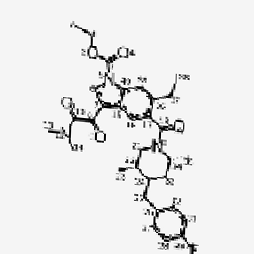 CCOC(=O)n1cc(C(=O)C(=O)N(C)C)c2cc(C(=O)N3C[C@H](C)C(Cc4ccc(F)cc4)C[C@H]3C)c(CI)cc21